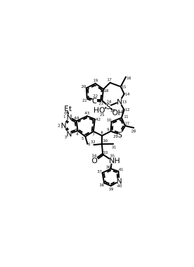 CCn1nnc2c(C)c(C(c3cc(CN4CC(C)Cc5ccccc5S4(O)O)c(C)s3)C(C)(C)C(=O)Nc3cccnc3)ccc21